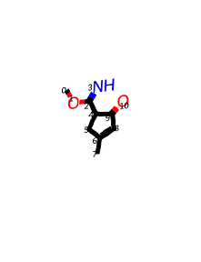 COC(=N)C1CC(C)=CC1=O